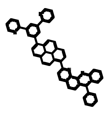 C1=CC2=C(c3ccc4ccc5c(-c6ccccc6)c6ccccc6nc5c4n3)C=CC3=CC=C4C(c5cc(-c6ccccn6)cc(-c6ccccn6)c5)=CC=C1C4C32